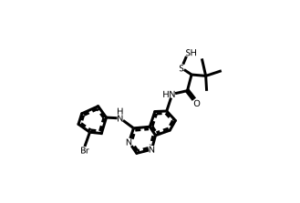 CC(C)(C)C(SS)C(=O)Nc1ccc2ncnc(Nc3cccc(Br)c3)c2c1